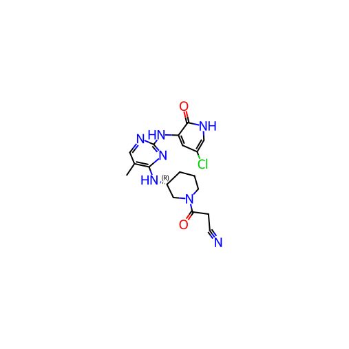 Cc1cnc(Nc2cc(Cl)c[nH]c2=O)nc1N[C@@H]1CCCN(C(=O)CC#N)C1